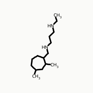 CCNCCCNCC1CCCC(C)CC1C